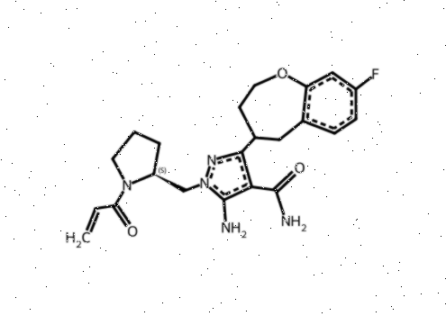 C=CC(=O)N1CCC[C@H]1Cn1nc(C2CCOc3cc(F)ccc3C2)c(C(N)=O)c1N